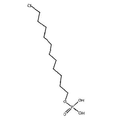 O=P(O)(O)OCCCCCCCCCCCCl